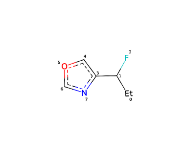 CCC(F)c1cocn1